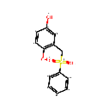 O=S(=O)(Cc1cc(O)ccc1O)c1ccccc1